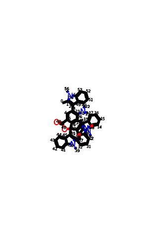 Cc1c(-c2cc3c(c(-c4c(C)n(C)c5ccccc45)c2N(C)C)C(c2c(C)n(C)c4ccccc24)(c2c(C)n(C)c4ccccc24)OC3=O)c2ccccc2n1C